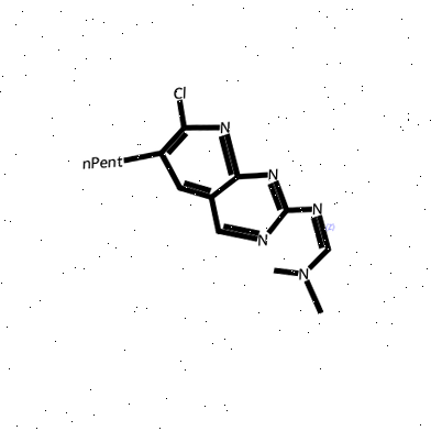 CCCCCc1cc2cnc(/N=C\N(C)C)nc2nc1Cl